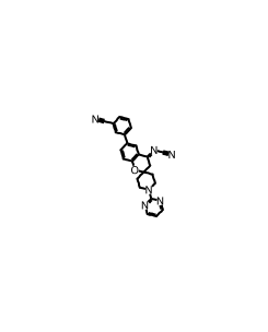 N#C/N=C1\CC2(CCN(c3ncccn3)CC2)Oc2ccc(-c3cccc(C#N)c3)cc21